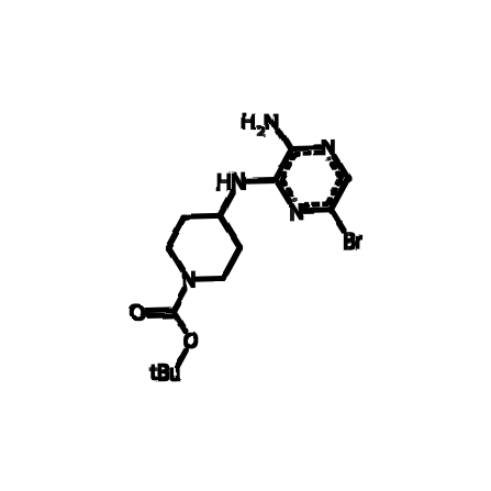 CC(C)(C)OC(=O)N1CCC(Nc2nc(Br)cnc2N)CC1